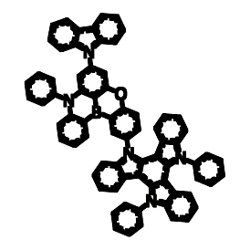 c1ccc(N2c3ccccc3B3c4cc(-n5c6ccccc6c6c7c(c8ccccc8n7-c7ccccc7)c7c(c8ccccc8n7-c7ccccc7)c65)ccc4Oc4cc(-n5c6ccccc6c6ccccc65)cc2c43)cc1